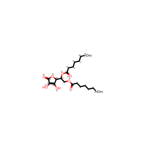 CCCCCCCCCCCCCCCC(=O)OCC(OC(=O)CCCCCCCCCCCCCCC)C1OC(=O)C(O)=C1O